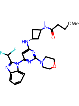 COCCC(=O)N[C@H]1C[C@H](Nc2cc(-n3c(C(F)F)nc4ccccc43)nc(N3CCOCC3)n2)C1